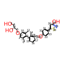 Cc1cc(OC[C@H](O)CO)cc(C)c1-c1cccc(COc2ccc(-c3cc(O)ns3)cc2)c1C